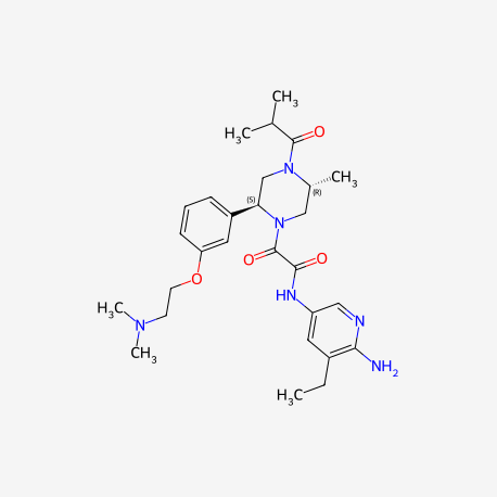 CCc1cc(NC(=O)C(=O)N2C[C@@H](C)N(C(=O)C(C)C)C[C@@H]2c2cccc(OCCN(C)C)c2)cnc1N